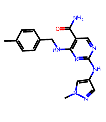 Cc1ccc(CNc2nc(Nc3cnn(C)c3)ncc2C(N)=O)cc1